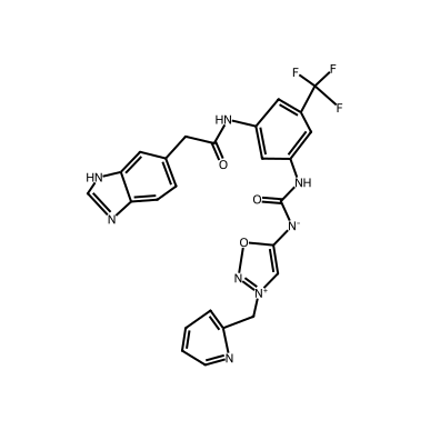 O=C(Cc1ccc2nc[nH]c2c1)Nc1cc(NC(=O)[N-]c2c[n+](Cc3ccccn3)no2)cc(C(F)(F)F)c1